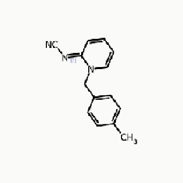 Cc1ccc(Cn2cccc/c2=N\C#N)cc1